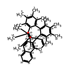 Cc1c(C)c(C)c2c(c1C)-c1c(C)c(C)c(C)c(C)c1C1(C=COc3c1ccc1ccccc31)c1c(C)c(C)c(C)c(C)c1-2